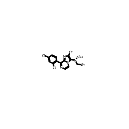 CCCCN(CC(C)C)c1c(CC)nc2c(-c3ccc(Cl)cc3Cl)nccn12